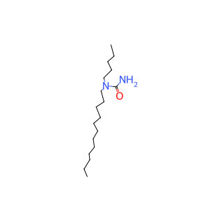 CCCCCCCCCCCCN(CCCCC)C(N)=O